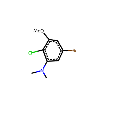 COc1cc(Br)cc(N(C)C)c1Cl